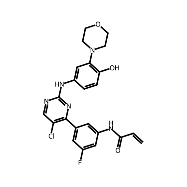 C=CC(=O)Nc1cc(F)cc(-c2nc(Nc3ccc(O)c(N4CCOCC4)c3)ncc2Cl)c1